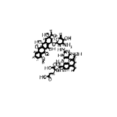 CCC(Cc1cnc2nc(=N)[nH]c(N)c2n1)c1ccc(C(=O)N[C@@H](CCC(=O)O)C(=O)O)cc1.COc1cccc2c1C(=O)c1c(O)c3c(c(O)c1C2=O)C[C@@](O)(C(C)=O)C[C@@H]3OC1CC(N)C(O)C(C)O1.Cl